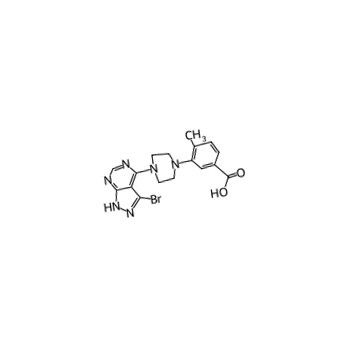 Cc1ccc(C(=O)O)cc1N1CCN(c2ncnc3[nH]nc(Br)c23)CC1